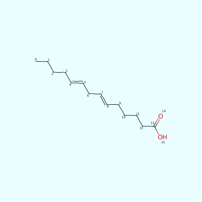 CCCCC=CCC=CCCCCC(=O)O